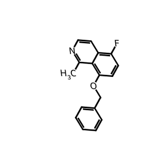 Cc1nccc2c(F)ccc(OCc3ccccc3)c12